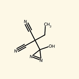 CCC(C#N)(C#N)C1(O)N=N1